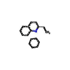 C=Cc1ccc2ccccc2n1.c1ccccc1